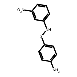 Nc1ccc(SNc2cccc([N+](=O)[O-])c2)cc1